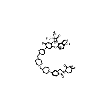 COc1cc(N2CCC(CN3CCN(CC4CCN(c5ccc6c(c5)CN([C@H]5CCC(=O)NC5=O)C6=O)CC4)CC3)CC2)c(F)cc1[C@@H]1N(c2cccc3[nH]ncc23)C(=O)C1(C)C